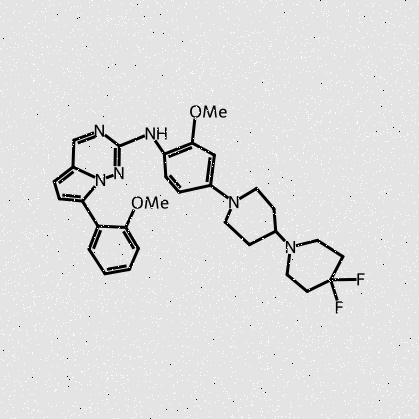 COc1cc(N2CCC(N3CCC(F)(F)CC3)CC2)ccc1Nc1ncc2ccc(-c3ccccc3OC)n2n1